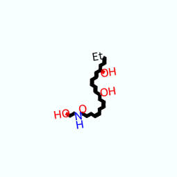 CC/C=C\CC(O)C=C/C=C\C=CC(O)C/C=C\C/C=C\CCC(=O)NCCO